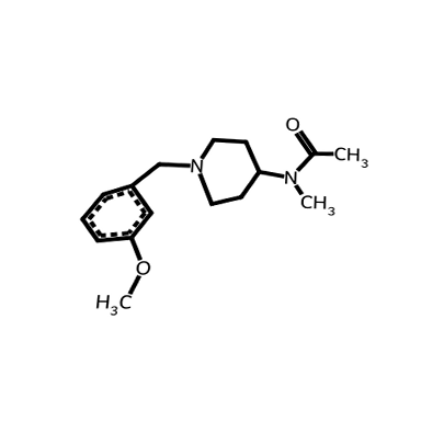 COc1cccc(CN2CCC(N(C)C(C)=O)CC2)c1